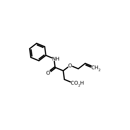 C=CCOC(CC(=O)O)C(=O)Nc1ccccc1